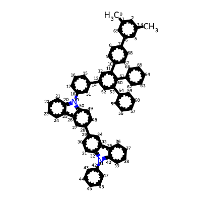 Cc1cc(C)cc(-c2ccc(-c3cc(-c4cccc(-n5c6ccccc6c6cc(-c7ccc8c(c7)c7ccccc7n8-c7ccccc7)ccc65)c4)cc(-c4ccccc4)c3-c3ccccc3)cc2)c1